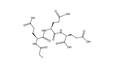 CCC(=O)N[C@@H](CCC(=O)O)C(=O)N[C@@H](CCC(=O)O)C(=O)N[C@@H](CCC(=O)O)C(=O)O